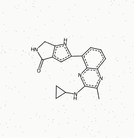 Cc1nc2cccc(-c3cc4c([nH]3)CNC4=O)c2nc1NC1CC1